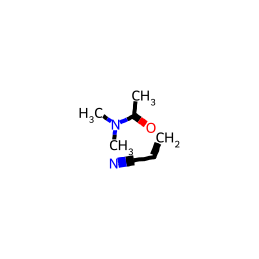 C=CC#N.CC(=O)N(C)C